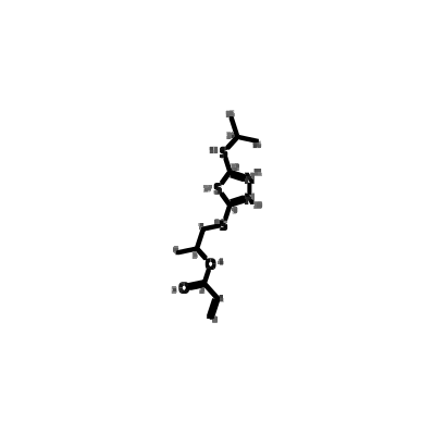 C=CC(=O)OC(C)CSc1nnc(SC(C)C)s1